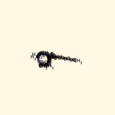 COCCOCCOCCOCCOCCOCCNC(=O)O[C@@H]1CC[C@@H](C[C@@H](N)[C@@H]2CC(=O)[C@H](C)/C=C(\C)[C@@H](O)[C@@H](O)C(=O)[C@H](C)C[C@H](C)/C=C/C=C/C=C(\C)[C@@H](OC)C[C@@H]3CC[C@@H](C)[C@@](O)(O3)C(=O)C(=O)N3CCCC[C@H]3C(=O)O2)C[C@H]1OC